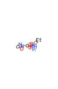 CCC1CCC(NC(=O)NS(=O)(=O)c2ccc(CCn3cnc4ccccc4c3=O)cc2)CC1